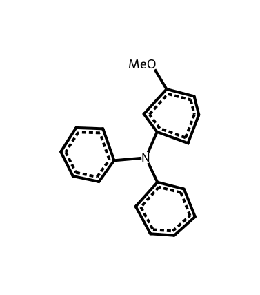 COc1cccc(N(c2ccccc2)c2ccccc2)c1